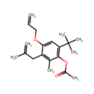 C=CCOc1cc(C(C)(C)C)c(OC(C)=O)c(C)c1CC(=C)C